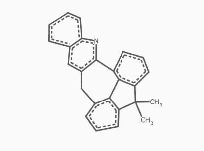 CC1(C)c2cccc3c2-c2c(cccc21)-c1nc2ccccc2cc1C3